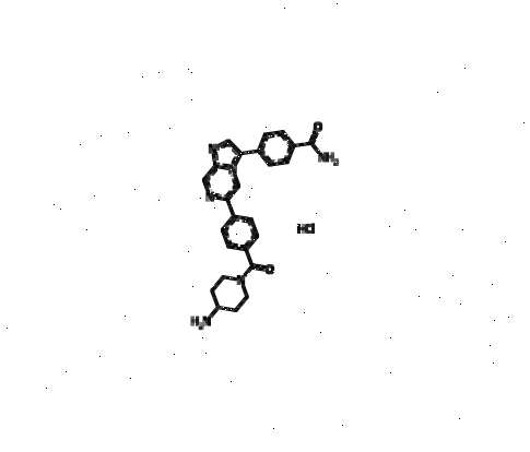 Cl.NC(=O)c1ccc(-c2cnc3cnc(-c4ccc(C(=O)N5CCC(N)CC5)cc4)cn23)cc1